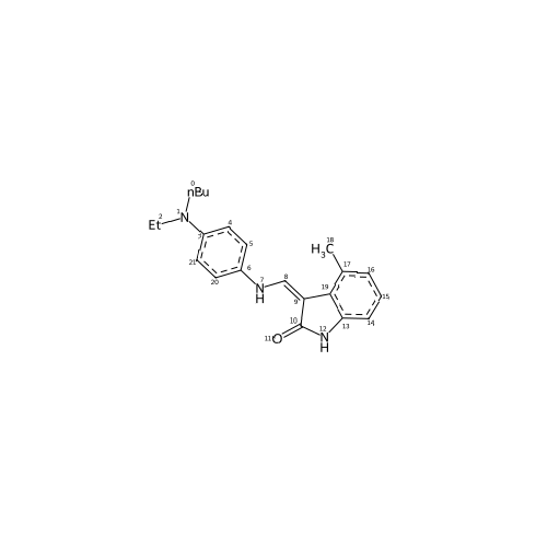 CCCCN(CC)c1ccc(NC=C2C(=O)Nc3cccc(C)c32)cc1